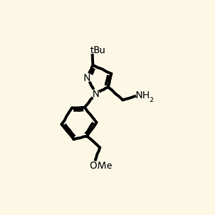 COCc1cccc(-n2nc(C(C)(C)C)cc2CN)c1